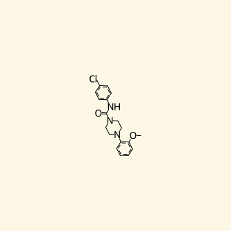 COc1ccccc1N1CCN(C(=O)Nc2ccc(Cl)cc2)CC1